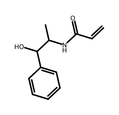 C=CC(=O)NC(C)C(O)c1ccccc1